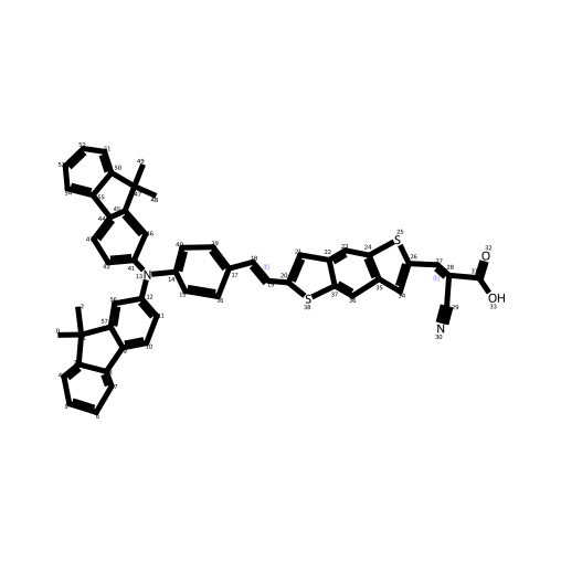 CC1(C)c2ccccc2-c2ccc(N(c3ccc(/C=C/c4cc5cc6sc(/C=C(\C#N)C(=O)O)cc6cc5s4)cc3)c3ccc4c(c3)C(C)(C)c3ccccc3-4)cc21